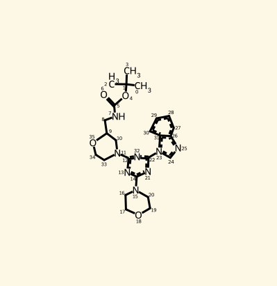 CC(C)(C)OC(=O)NCC1CN(c2nc(N3CCOCC3)nc(-n3cnc4ccccc43)n2)CCO1